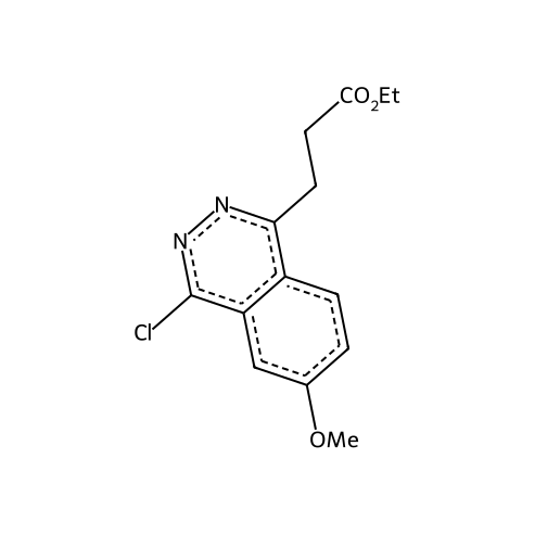 CCOC(=O)CCc1nnc(Cl)c2cc(OC)ccc12